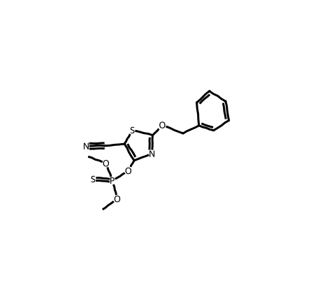 COP(=S)(OC)Oc1nc(OCc2ccccc2)sc1C#N